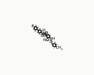 Cc1ccc(SCCNc2ccc(S(=O)(=O)NC(=O)c3ccc(-c4ccc(F)cc4)cc3)cc2[N+](=O)[O-])cc1